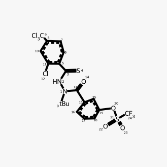 CC(C)(C)N(NC(=S)c1ccc(C(Cl)(Cl)Cl)cc1Cl)C(=O)c1cccc(OS(=O)(=O)C(F)(F)F)c1